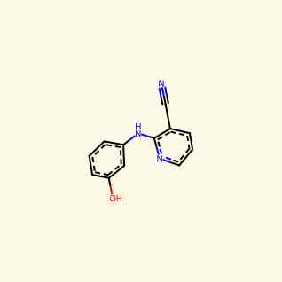 N#Cc1cccnc1Nc1cccc(O)c1